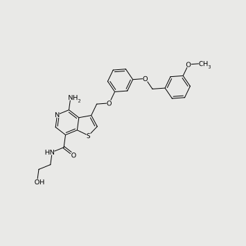 COc1cccc(COc2cccc(OCc3csc4c(C(=O)NCCO)cnc(N)c34)c2)c1